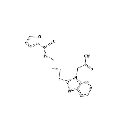 O=C(O)Cn1c(SCCCNC(=O)c2ccco2)nc2ccccc21